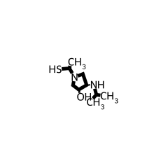 CC(C)N[C@H]1CN(C(C)S)C[C@@H]1O